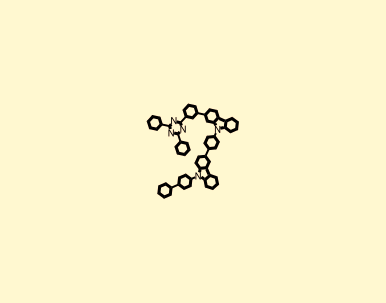 c1ccc(-c2ccc(-n3c4ccccc4c4cc(-c5ccc(-n6c7ccccc7c7ccc(-c8cccc(-c9nc(-c%10ccccc%10)nc(-c%10ccccc%10)n9)c8)cc76)cc5)ccc43)cc2)cc1